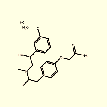 CC(Cc1ccc(OCC(N)=O)cc1)N(C)C[C@@H](O)c1cccc(Cl)c1.Cl.O